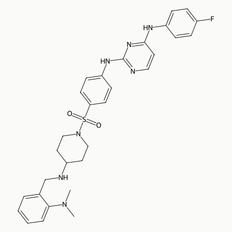 CN(C)c1ccccc1CNC1CCN(S(=O)(=O)c2ccc(Nc3nccc(Nc4ccc(F)cc4)n3)cc2)CC1